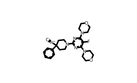 [C-]#[N+]C1(c2ccccc2)CCN(c2nc(N3CCOCC3)c(F)c(N3CCOCC3)n2)CC1